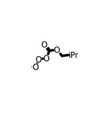 CC(C)COC(=O)OO[O]